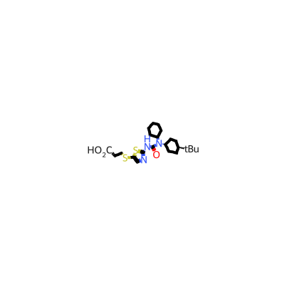 CC(C)(C)[C@H]1CC[C@H](N(C(=O)Nc2ncc(SCCC(=O)O)s2)C2CCCCC2)CC1